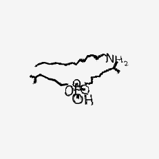 CC(C)CCCCCOP(=O)(O)OCCCCCC(C)C.CCCCCCCCCCCCN